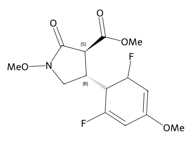 COC(=O)[C@@H]1C(=O)N(OC)C[C@H]1C1C(F)=CC(OC)=CC1F